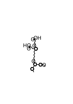 COc1ccc(-c2cc(OCCCCCCc3cccc(OCCCC(=O)O)c3CCC(=O)O)cc(-c3cccc(C)c3)c2)cc1